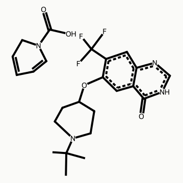 CC(C)(C)N1CCC(Oc2cc3c(=O)[nH]cnc3cc2C(F)(F)F)CC1.O=C(O)N1C=CC=CC1